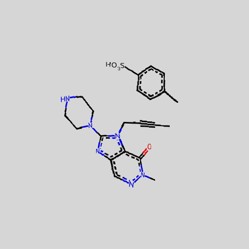 CC#CCn1c(N2CCNCC2)nc2cnn(C)c(=O)c21.Cc1ccc(S(=O)(=O)O)cc1